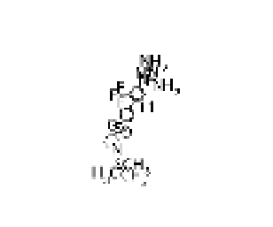 CC(C)(C)CCN1CCCC(S(=O)(=O)c2ccc(-c3c(Cl)cc(-n4nc(N)nc4N)cc3C(F)(F)F)cc2)C1